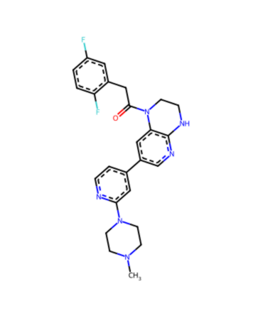 CN1CCN(c2cc(-c3cnc4c(c3)N(C(=O)Cc3cc(F)ccc3F)CCN4)ccn2)CC1